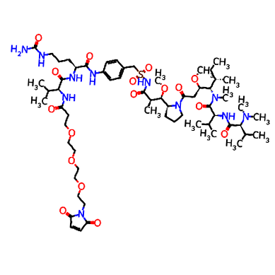 CC[C@H](C)[C@@H]([C@@H](CC(=O)N1CCC[C@H]1[C@H](OC)[C@@H](C)C(=O)NS(=O)(=O)Cc1ccc(NC(=O)[C@H](CCCNC(N)=O)NC(=O)[C@@H](NC(=O)CCOCCOCCOCCN2C(=O)C=CC2=O)C(C)C)cc1)OC)N(C)C(=O)[C@@H](NC(=O)[C@H](C(C)C)N(C)C)C(C)C